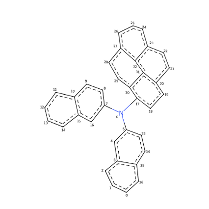 c1ccc2cc(N(c3ccc4ccccc4c3)c3ccc4ccc5cccc6ccc3c4c56)ccc2c1